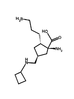 BCCC[C@H]1C[C@H](CNC2CCC2)C[C@@]1(N)C(=O)O